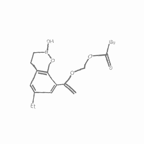 C=C(OCOC(=O)C(C)(C)C)c1cc(CC)cc2c1OB(O)CC2